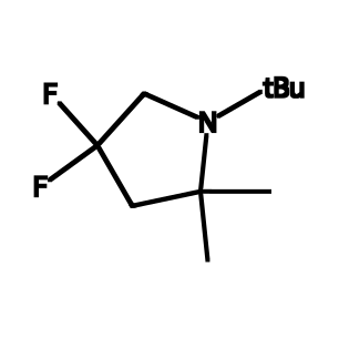 CC(C)(C)N1CC(F)(F)CC1(C)C